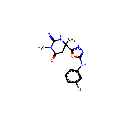 CN1C(=N)N[C@](C)(c2nnc(Nc3cccc(Cl)c3)o2)CC1=O